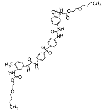 CCCCOCCOC(=O)Nc1cc(NC(=O)Nc2ccc(S(=O)(=O)c3ccc(NC(=O)Nc4ccc(C)c(NC(=O)OCCOCCCC)c4)cc3)cc2)ccc1C